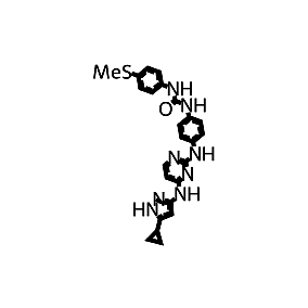 CSc1ccc(NC(=O)Nc2ccc(Nc3nccc(Nc4cc(C5CC5)[nH]n4)n3)cc2)cc1